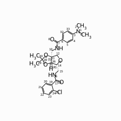 CN(C)c1ccc(C(=O)NC[C@]23CO[C@H](CNC(=O)c4ccccc4Cl)[C@H]2OC(C)(C)O3)cc1